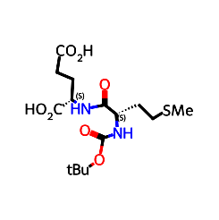 CSCC[C@H](NC(=O)OC(C)(C)C)C(=O)N[C@@H](CCC(=O)O)C(=O)O